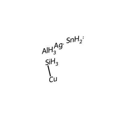 [Ag].[AlH3].[SiH3][Cu].[SnH2]